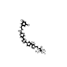 CC(C)(C)C(=O)OCn1cc(C2(C)CCN(c3nnc(-c4cnc(NCCc5cc(Cl)cc(Cl)c5)nc4)o3)C2)nn1